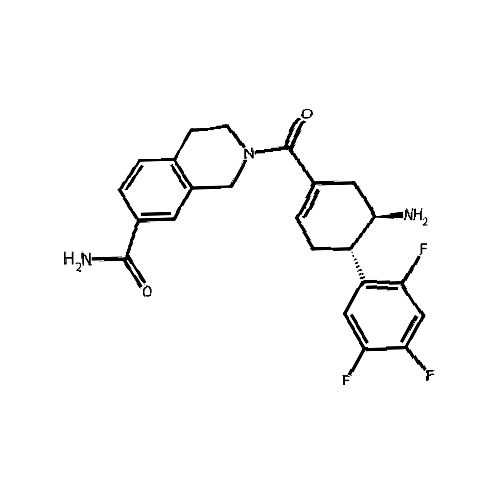 NC(=O)c1ccc2c(c1)CN(C(=O)C1=CC[C@@H](c3cc(F)c(F)cc3F)[C@H](N)C1)CC2